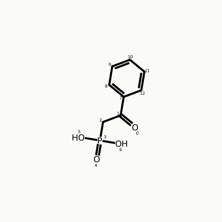 O=C(CP(=O)(O)O)c1ccccc1